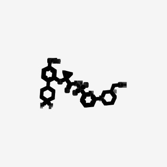 COc1ccc(C2CCC(F)(F)CC2)c(OC2(C(=O)NS(=O)(=O)c3cccc(N4CCC[C@H](CO)C4)n3)CC2)c1